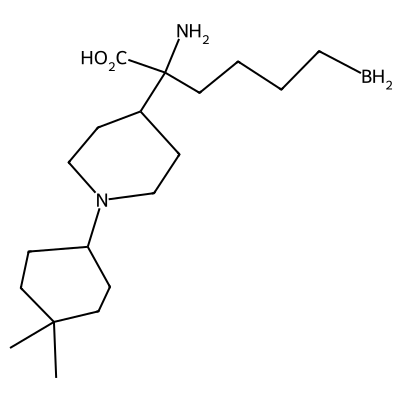 BCCCCC(N)(C(=O)O)C1CCN(C2CCC(C)(C)CC2)CC1